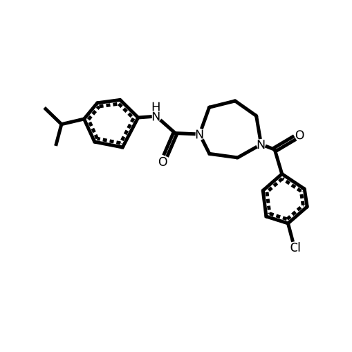 CC(C)c1ccc(NC(=O)N2CCCN(C(=O)c3ccc(Cl)cc3)CC2)cc1